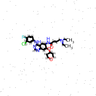 CCN(CC)CC=CC(=O)Nc1cc2c(Nc3ccc(F)c(Cl)c3)ncnc2cc1OC1CCOCC1